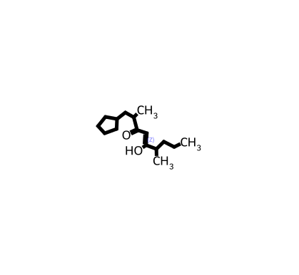 CCCC(C)/C(O)=C/C(=O)C(C)CC1CCCC1